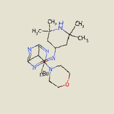 [CH2]CCCC(=NC1CC(C)(C)NC(C)(C)C1)[C]1c2nc1nc(N1CCOCC1)n2